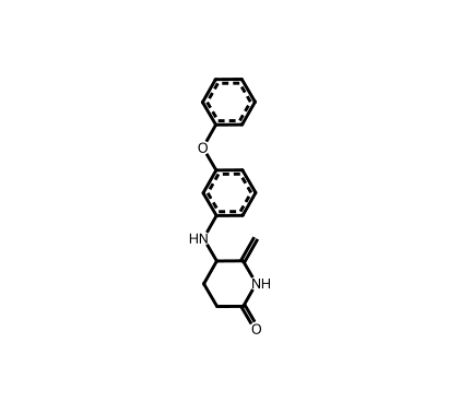 C=C1NC(=O)CCC1Nc1cccc(Oc2ccccc2)c1